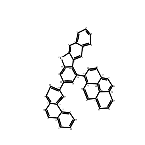 c1ccc2cc3c(cc2c1)oc1cc(-c2ccc4ccc5ccccc5c4c2)cc(-c2ccc4ccc5cccc6ccc2c4c56)c13